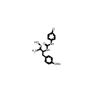 COc1ccc(CC(NC(=O)Nc2ccc(Cl)cc2)/C(N)=N/O)cc1